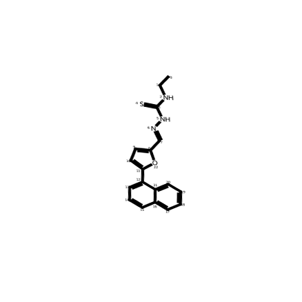 CCNC(=S)N/N=C/c1ccc(-c2cccc3ccccc23)o1